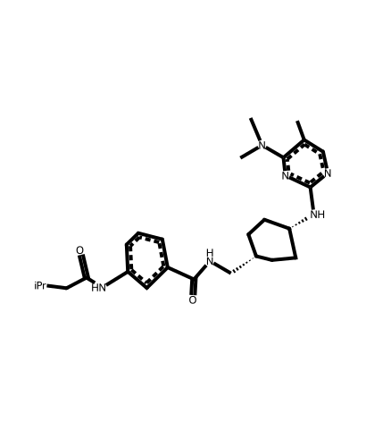 Cc1cnc(N[C@H]2CC[C@@H](CNC(=O)c3cccc(NC(=O)CC(C)C)c3)CC2)nc1N(C)C